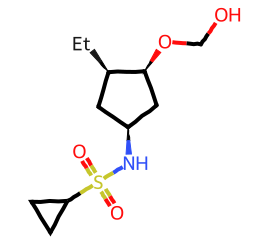 CC[C@@H]1C[C@H](NS(=O)(=O)C2CC2)C[C@@H]1OCO